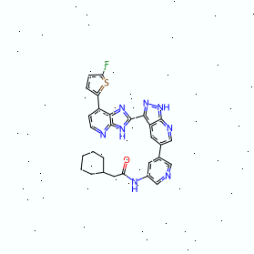 O=C(CC1CCCCC1)Nc1cncc(-c2cnc3[nH]nc(-c4nc5c(-c6ccc(F)s6)ccnc5[nH]4)c3c2)c1